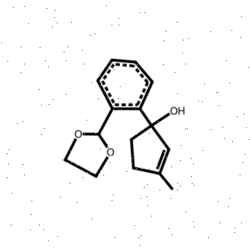 CC1=CC(O)(c2ccccc2C2OCCO2)CC1